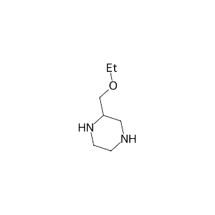 CCOCC1CNCCN1